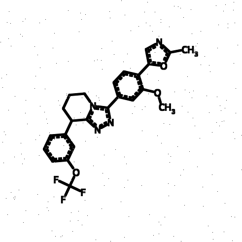 COc1cc(-c2nnc3n2CCCC3c2cccc(OC(F)(F)F)c2)ccc1-c1cnc(C)o1